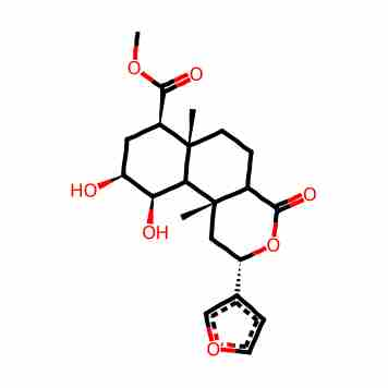 COC(=O)[C@@H]1C[C@H](O)[C@H](O)C2[C@@]3(C)C[C@@H](c4ccoc4)OC(=O)C3CC[C@]21C